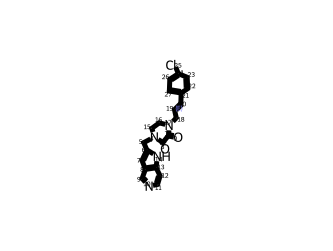 O=C1C(=O)N(Cc2cc3cnccc3[nH]2)CCN1C/C=C/c1ccc(Cl)cc1